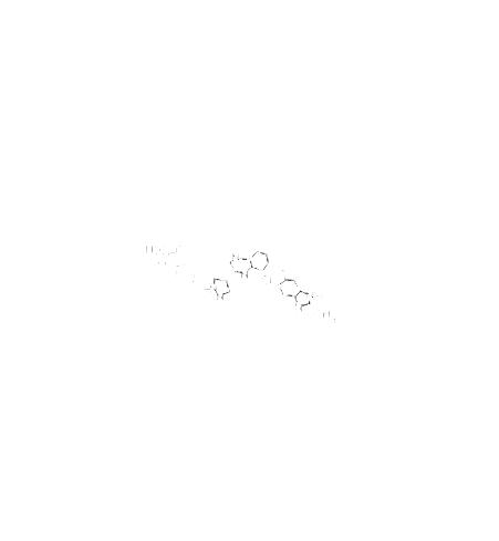 Cc1nc2ccc(Oc3ccc4ncc(-c5cnn(CC6CCC(S(C)(=O)=O)CC6)c5)nc4c3Cl)cc2[nH]1